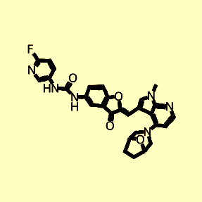 Cn1cc(C=C2Oc3ccc(NC(=O)Nc4ccc(F)nc4)cc3C2=O)c2c(N3CC4CCC(C3)O4)ccnc21